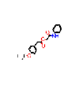 COc1ccc(CC(=O)OCC(=O)Nc2ccccc2)cc1